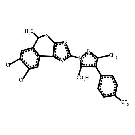 Cc1nn(-c2nc3c(s2)SC(C)c2cc(Cl)c(Cl)cc2-3)c(C(=O)O)c1-c1ccc(C(F)(F)F)cc1